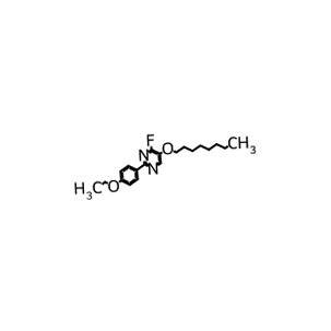 CCCCCCCCOc1cnc(-c2ccc(OCC)cc2)nc1F